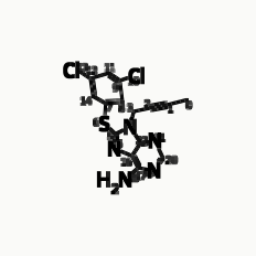 CC#CCn1c(Sc2cc(Cl)cc(Cl)c2)nc2c(N)ncnc21